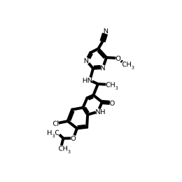 COc1nc(NC(C)c2cc3cc(Cl)c(OC(C)C)cc3[nH]c2=O)ncc1C#N